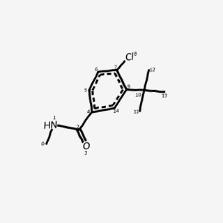 CNC(=O)c1ccc(Cl)c(C(C)(C)C)c1